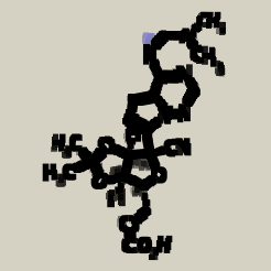 CN(C)/C=N\c1ncnn2c([C@]3(C#N)O[C@H](COC(=O)O)[C@H]4OC(C)(C)O[C@H]43)ccc12